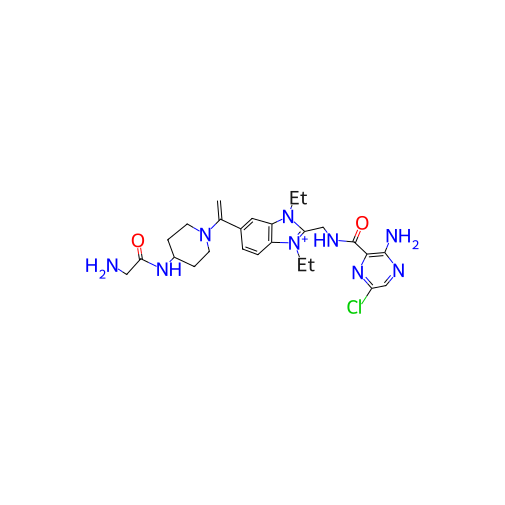 C=C(c1ccc2c(c1)n(CC)c(CNC(=O)c1nc(Cl)cnc1N)[n+]2CC)N1CCC(NC(=O)CN)CC1